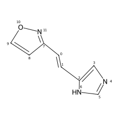 C(=C\c1cnc[nH]1)/c1ccon1